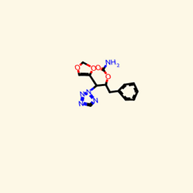 NC(=O)OC(Cc1ccccc1)C(C1=COCO1)n1ncnn1